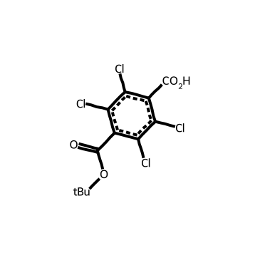 CC(C)(C)OC(=O)c1c(Cl)c(Cl)c(C(=O)O)c(Cl)c1Cl